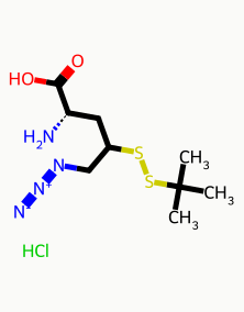 CC(C)(C)SSC(CN=[N+]=[N-])C[C@H](N)C(=O)O.Cl